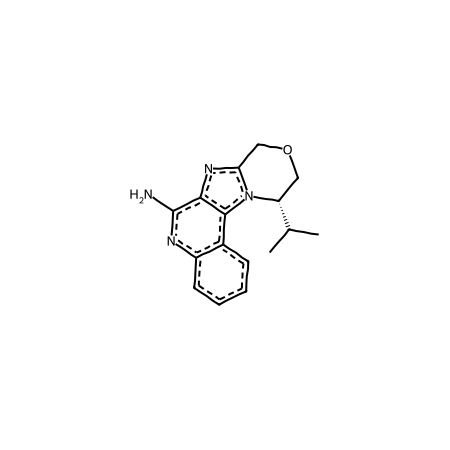 CC(C)[C@H]1COCc2nc3c(N)nc4ccccc4c3n21